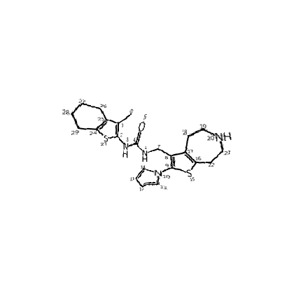 Cc1c(NC(=O)NCc2c(-n3cccc3)sc3c2CCNCC3)sc2c1CCCC2